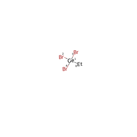 C[CH2][Ge]([Br])([Br])[Br]